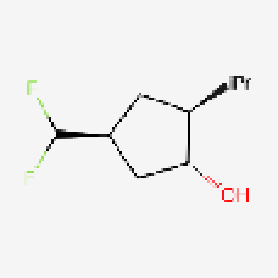 CC(C)[C@@H]1C[C@H](C(F)F)C[C@H]1O